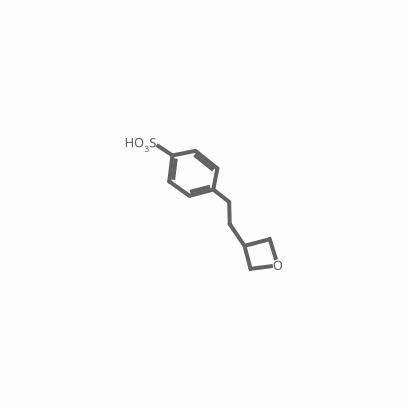 O=S(=O)(O)c1ccc(CCC2COC2)cc1